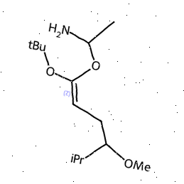 COC(C/C=C(\OC(C)N)OC(C)(C)C)C(C)C